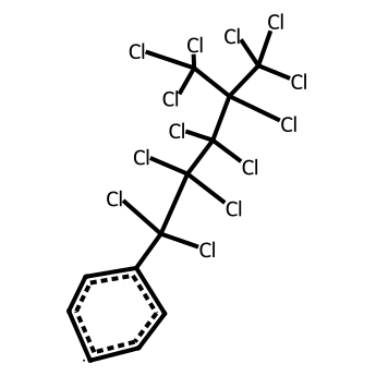 ClC(Cl)(Cl)C(Cl)(C(Cl)(Cl)Cl)C(Cl)(Cl)C(Cl)(Cl)C(Cl)(Cl)c1cc[c]cc1